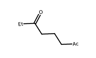 CCC(=O)CCCC(C)=O